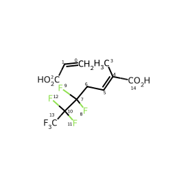 C=CC(=O)O.CC(=CCC(F)(F)C(F)(F)C(F)(F)F)C(=O)O